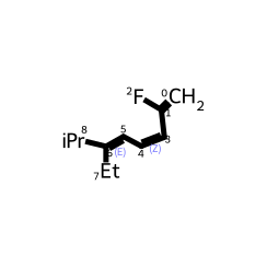 C=C(F)/C=C\C=C(/CC)C(C)C